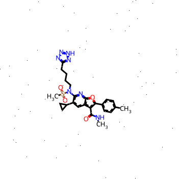 CNC(=O)c1c(-c2ccc(C)cc2)oc2nc(N(CCCCc3nn[nH]n3)S(C)(=O)=O)c(C3CC3)cc12